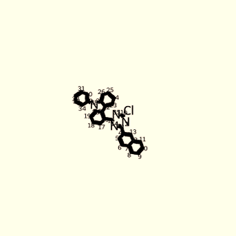 Clc1nc(-c2ccc3ccccc3c2)nc(-c2cccc3c2c2ccccc2n3-c2ccccc2)n1